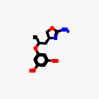 CC[C@@H](C[C@H]1COC(N)=N1)Oc1cc(O)cc(O)c1